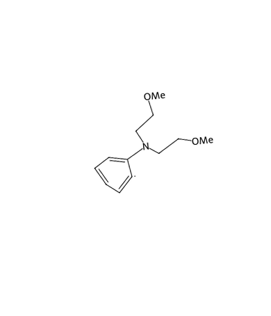 COCCN(CCOC)c1[c]cccc1